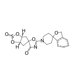 O=C1N=C(N2CCC3(CC2)OCc2ccccc23)OC12C[C@@H]1OS(=O)O[C@@H]1C2